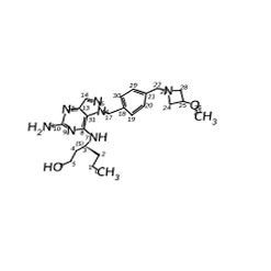 CCC[C@@H](CCO)Nc1nc(N)nc2cnn(Cc3ccc(CN4CC(OC)C4)cc3)c12